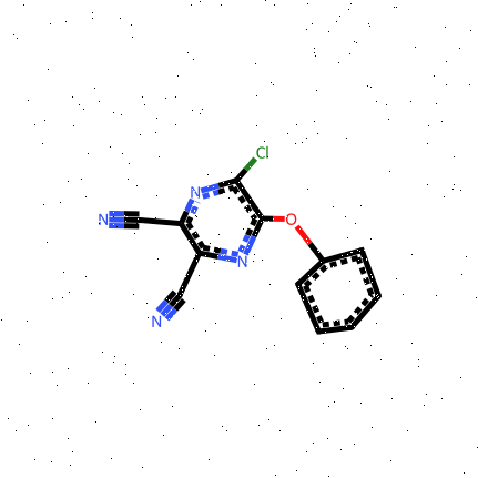 N#Cc1nc(Cl)c(Oc2ccccc2)nc1C#N